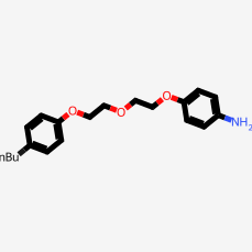 CCCCc1ccc(OCCOCCOc2ccc(N)cc2)cc1